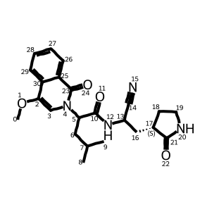 COc1cn(C(CC(C)C)C(=O)NC(C#N)C[C@@H]2CCNC2=O)c(=O)c2ccccc12